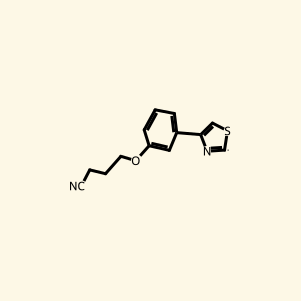 N#CCCCOc1cccc(-c2cs[c]n2)c1